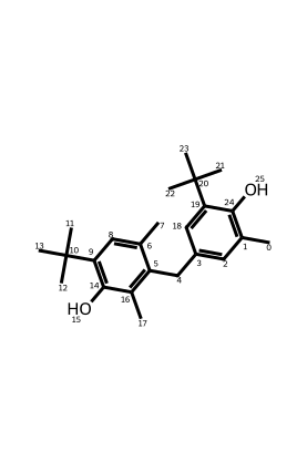 Cc1cc(Cc2c(C)cc(C(C)(C)C)c(O)c2C)cc(C(C)(C)C)c1O